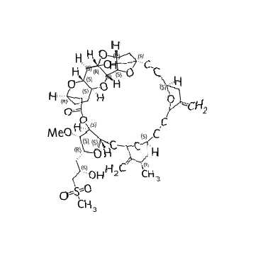 C=C1C[C@@H]2CC[C@@]34C[C@H]5O[C@H]6[C@@H](O3)[C@H]3O[C@H](CC[C@@H]3O[C@H]6[C@H]5O4)CC(=O)O[C@@H]3[C@@H](OC)[C@@H](C[C@H](O)CS(C)(=O)=O)O[C@H]3CC3C[C@@H](CCC1O2)C[C@@H](C)C3=C